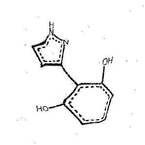 Oc1cccc(O)c1-c1cc[nH]n1